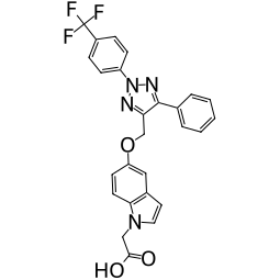 O=C(O)Cn1ccc2cc(OCc3nn(-c4ccc(C(F)(F)F)cc4)nc3-c3ccccc3)ccc21